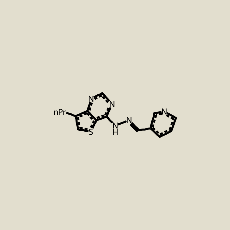 CCCc1csc2c(NN=Cc3cccnc3)ncnc12